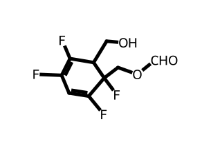 O=COCC1(F)C(F)=CC(F)=C(F)C1CO